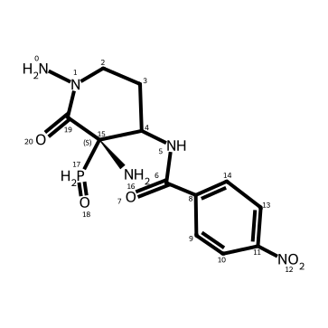 NN1CCC(NC(=O)c2ccc([N+](=O)[O-])cc2)[C@](N)([PH2]=O)C1=O